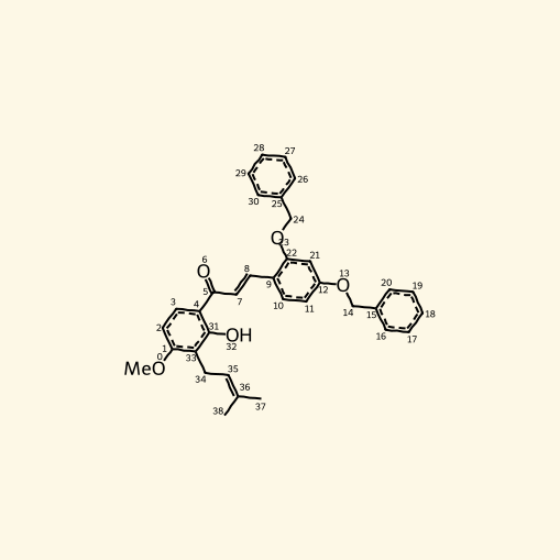 COc1ccc(C(=O)/C=C/c2ccc(OCc3ccccc3)cc2OCc2ccccc2)c(O)c1CC=C(C)C